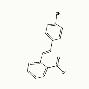 O=[N+]([O-])c1ccccc1C=Cc1ccc(O)cc1